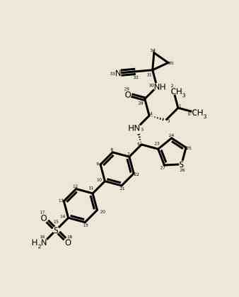 CC(C)C[C@H](N[C@@H](c1ccc(-c2ccc(S(N)(=O)=O)cc2)cc1)c1ccsc1)C(=O)NC1(C#N)CC1